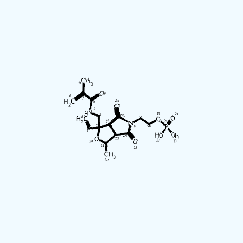 C=CC1(CNC(=O)C(=C)C)OC(C)C2C(=O)N(CCOP(=O)(O)O)C(=O)C21